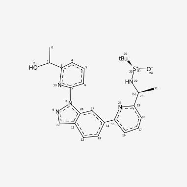 CC(O)c1cccc(-n2ncc3ccc(-c4cccc([C@H](C)N[S@+]([O-])C(C)(C)C)n4)cc32)n1